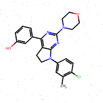 Cc1cc(N2CCc3c(-c4cccc(O)c4)nc(N4CCOCC4)nc32)ccc1Cl